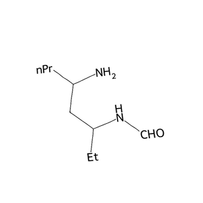 CCCC(N)CC(CC)NC=O